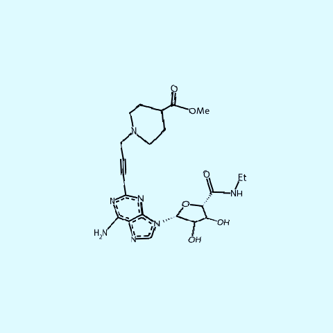 CCNC(=O)[C@H]1O[C@@H](n2cnc3c(N)nc(C#CCN4CCC(C(=O)OC)CC4)nc32)C(O)C1O